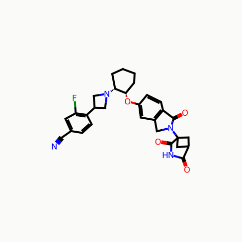 N#Cc1ccc(C2CN([C@@H]3CCCC[C@@H]3Oc3ccc4c(c3)CN(C35CC(C3)C(=O)NC5=O)C4=O)C2)c(F)c1